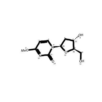 COc1ccn([C@H]2C[C@H](O)[C@@H](CO)O2)c(=O)n1